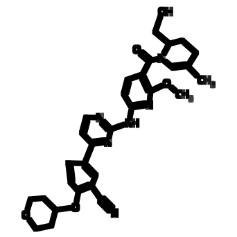 COc1nc(Nc2nccc(-c3ccc(OC4CCOCC4)c(C#N)c3)n2)ccc1C(=O)N1C=C(C)CCC1CO